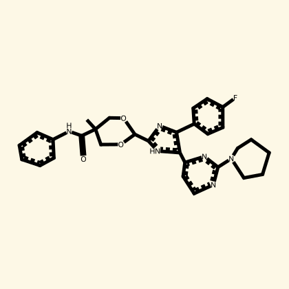 CC1(C(=O)Nc2ccccc2)COC(c2nc(-c3ccc(F)cc3)c(-c3ccnc(N4CCCCC4)n3)[nH]2)OC1